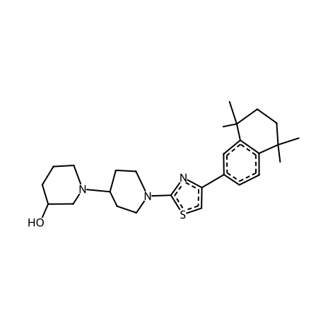 CC1(C)CCC(C)(C)c2cc(-c3csc(N4CCC(N5CCCC(O)C5)CC4)n3)ccc21